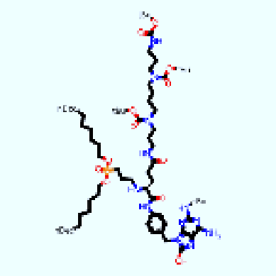 CCCCCCCCCCCCCCCCOP(=O)(CCCN[C@@H](CCC(=O)NCCCN(CCCCN(CCCNC(=O)OC(C)(C)C)C(=O)OC(C)(C)C)C(=O)OC(C)(C)C)C(=O)Nc1ccc(Cn2c(O)nc3c(N)nc(NCCCC)nc32)cc1)OCCCCCCCCCCCCCCCC